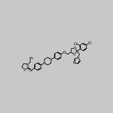 CC(C)CN1CCS/C1=N/c1ccc(N2CCN(c3ccc(OCC4COC(Cn5ccnc5)(c5ccc(Cl)cc5Cl)O4)cc3)CC2)cc1